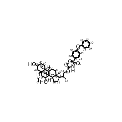 CC[C@H]1[C@@H](O)[C@@H]2[C@H](CC[C@]3(C)[C@@H]([C@H](C)COC(=O)NS(=O)(=O)c4ccc(Oc5ccccc5)cc4)CC[C@@H]23)[C@@]2(C)CC[C@@H](O)C[C@@H]12